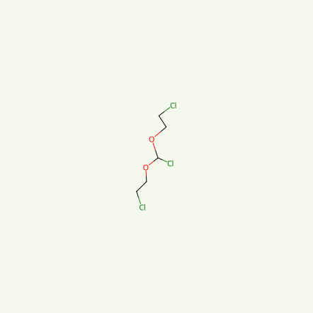 ClCCOC(Cl)OCCCl